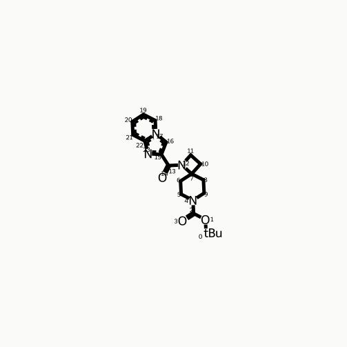 CC(C)(C)OC(=O)N1CCC2(CC1)CCN2C(=O)c1cn2ccccc2n1